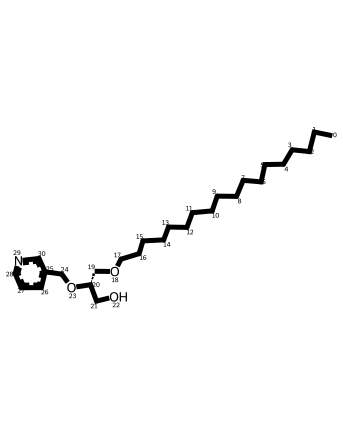 CCCCCCCCCCCCCCCCCCOC[C@H](CO)OCc1cccnc1